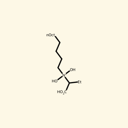 CCCCCCCCCCCC[N+](O)(O)C(CC)C(=O)O